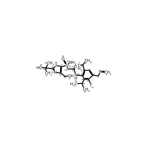 C=NCc1cc(C(C)C)c(NC(=O)N=S(N)(=O)c2sc(C(C)(C)O)nc2CO)c(C(C)C)c1F